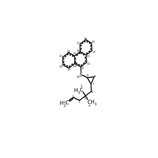 C=CCC(C)(C)CC1CC1Sc1cc2ccccc2c2ccccc12